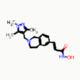 Cc1nn(C)c(C)c1CN1CCc2cc(C=CC(=O)NO)ccc2C1